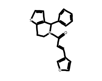 O=C(C=Cc1ccoc1)N1CCc2sccc2C1c1ccccc1